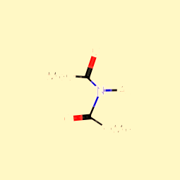 COC(=O)N(C(C)=O)C(=O)OC